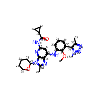 COc1c(Nc2cc(NC(=O)C3CC3)nc3c2nc(C)n3C2CCCCO2)cccc1-c1c(C)nnn1C